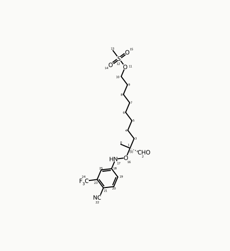 C[C@@](C=O)(CCCCCCCCOS(C)(=O)=O)ONc1ccc(C#N)c(C(F)(F)F)c1